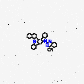 N#Cc1nc(-n2c3ccccc3c3c4c5ccc6ccccc6c5n5c6ccccc6c(cc32)c45)nc2ccccc12